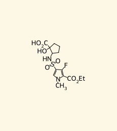 CCOC(=O)c1c(F)c(S(=O)(=O)NC2CCCC2(O)C(=O)O)cn1C